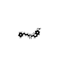 COc1ccc2c(c1)OC(CNCCCCc1ccccc1)CC2